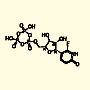 O=c1ccc([C@@H]2O[C@H](COP3(=O)OP(=O)(O)OP(=O)(O)O3)C(O)[C@@H]2O)c(F)[nH]1